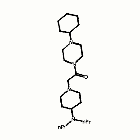 CCCN(CCC)C1CCN(CC(=O)N2CCN(C3CCCCC3)CC2)CC1